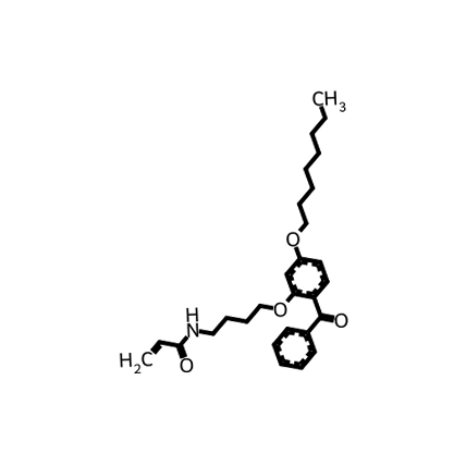 C=CC(=O)NCCCCOc1cc(OCCCCCCCC)ccc1C(=O)c1ccccc1